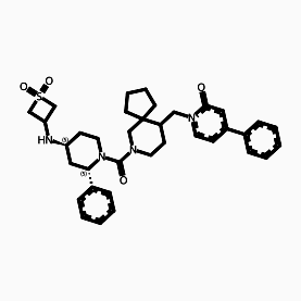 O=C(N1CCC(Cn2ccc(-c3ccccc3)cc2=O)C2(CCCC2)C1)N1CC[C@H](NC2CS(=O)(=O)C2)C[C@H]1c1ccccc1